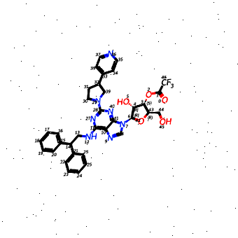 O=C(O[C@H]1[C@@H](O)[C@H](n2cnc3c(NCC(c4ccccc4)c4ccccc4)nc(N4CCC(c5ccncc5)C4)nc32)O[C@@H]1CO)C(F)(F)F